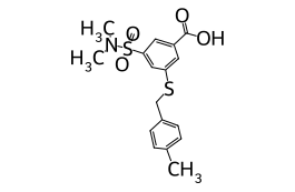 Cc1ccc(CSc2cc(C(=O)O)cc(S(=O)(=O)N(C)C)c2)cc1